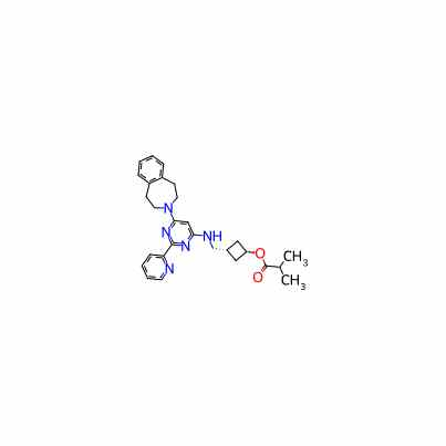 CC(C)C(=O)O[C@H]1C[C@H](CNc2cc(N3CCc4ccccc4CC3)nc(-c3ccccn3)n2)C1